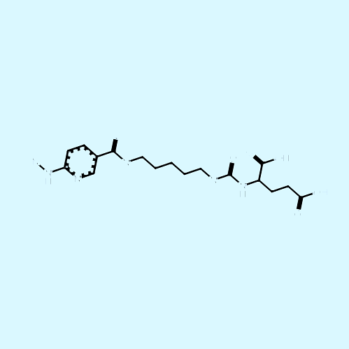 NNc1ccc(C(=O)NCCCCCNC(=O)NC(CCC(=O)O)C(=O)O)cn1